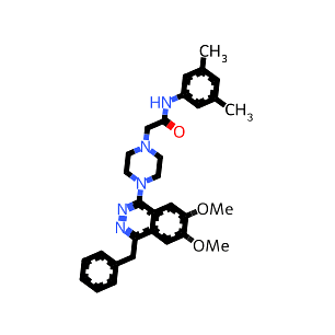 COc1cc2c(Cc3ccccc3)nnc(N3CCN(CC(=O)Nc4cc(C)cc(C)c4)CC3)c2cc1OC